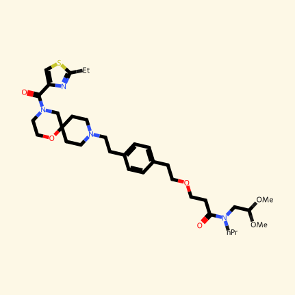 CCCN(CC(OC)OC)C(=O)CCOCCc1ccc(CCN2CCC3(CC2)CN(C(=O)c2csc(CC)n2)CCO3)cc1